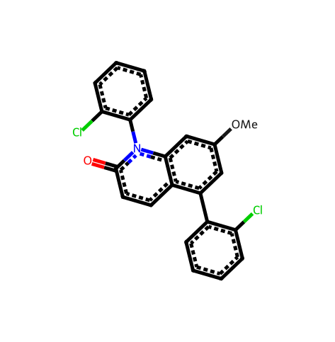 COc1cc(-c2ccccc2Cl)c2ccc(=O)n(-c3ccccc3Cl)c2c1